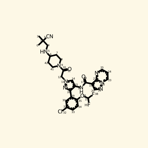 CC(C)(C#N)CNC1CCN(C(=O)Cn2cc(NC(=O)c3cnn4cccnc34)c(-c3cc(Cl)ccc3OC(F)F)n2)CC1